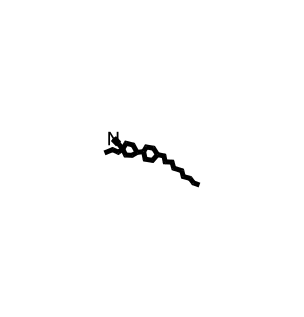 CCCCCCCCCC1CCC(C2CCC(C#N)(CCC)CC2)CC1